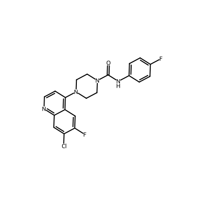 O=C(Nc1ccc(F)cc1)N1CCN(c2ccnc3cc(Cl)c(F)cc23)CC1